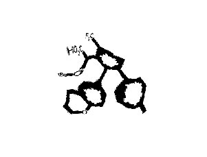 Cc1ccc(-c2ccc(C(F)(F)F)c(C(OC(C)(C)C)C(=O)O)c2-c2ccc3c(c2)CCCO3)cc1